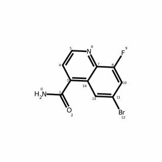 NC(=O)c1ccnc2c(F)cc(Br)cc12